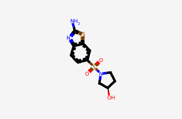 Nc1nc2ccc(S(=O)(=O)N3CC[C@@H](O)C3)cc2s1